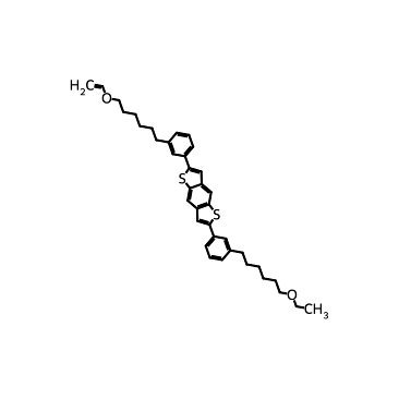 C=COCCCCCCc1cccc(-c2cc3cc4sc(-c5cccc(CCCCCCOCC)c5)cc4cc3s2)c1